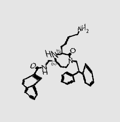 NCCCC[C@@H]1N[C@H](CNC(=O)c2ccc3ccccc3c2)CCN(CC(c2ccccc2)c2ccccc2)C1=O